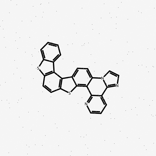 c1ccc2c(c1)sc1ccc3sc4c(ccc5c4c4ncccc4c4nccn54)c3c12